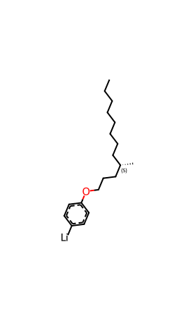 [Li][c]1ccc(OCCC[C@@H](C)CCCCCCCC)cc1